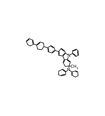 CC1(N(C2=CCCC=C2)C2=CCCC=C2)C=c2c(c3cc(-c4ccc(C5CC=C(C6=CC=CCC6)CC5)cc4)ccc3n2-c2ccccc2)=CC1